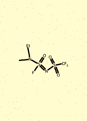 CCN(C)S(=O)(F)=NS(=O)(=O)C(F)(F)F